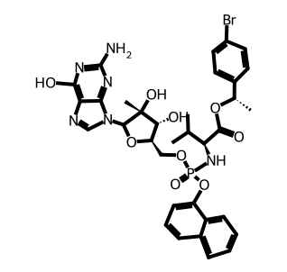 CC(C)[C@H](NP(=O)(OC[C@H]1OC(n2cnc3c(O)nc(N)nc32)[C@](C)(O)[C@@H]1O)Oc1cccc2ccccc12)C(=O)O[C@@H](C)c1ccc(Br)cc1